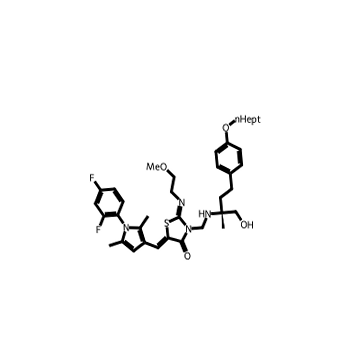 CCCCCCCOc1ccc(CC[C@](C)(CO)NCN2C(=O)/C(=C/c3cc(C)n(-c4ccc(F)cc4F)c3C)S/C2=N\CCOC)cc1